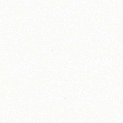 Oc1ccc2cccc(-c3c(Nc4ccccc4)cccc3Nc3ccccc3)c2c1